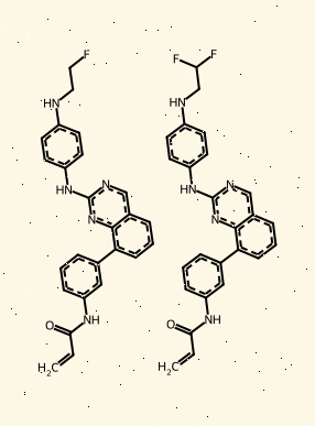 C=CC(=O)Nc1cccc(-c2cccc3cnc(Nc4ccc(NCC(F)F)cc4)nc23)c1.C=CC(=O)Nc1cccc(-c2cccc3cnc(Nc4ccc(NCCF)cc4)nc23)c1